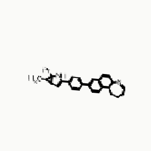 CC(C)C12NC(c3ccc(-c4ccc5c(c4)C=CC4N=CCCCC54)cc3)=CC1C2C